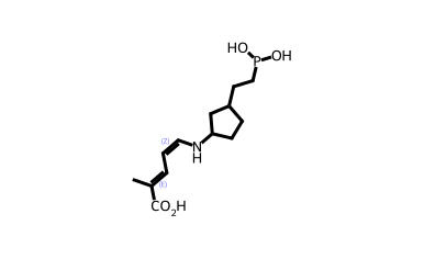 C/C(=C\C=C/NC1CCC(CCP(O)O)C1)C(=O)O